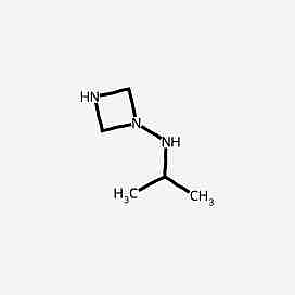 CC(C)NN1CNC1